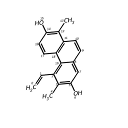 C=Cc1c(C)c(O)cc2ccc3c(C)c(O)ccc3c12